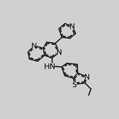 CCc1nc2ccc(Nc3nc(-c4ccncc4)cc4ncccc34)cc2s1